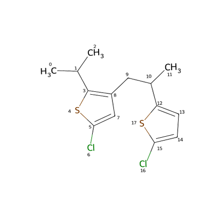 CC(C)c1sc(Cl)cc1CC(C)c1ccc(Cl)s1